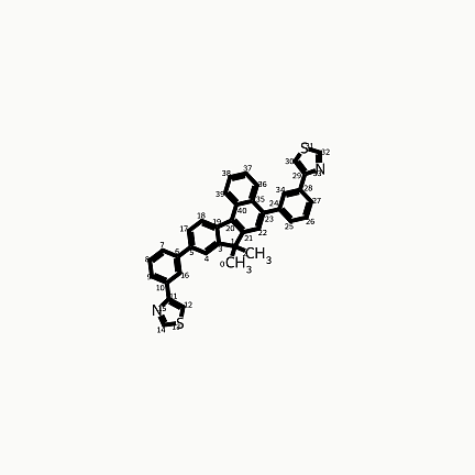 CC1(C)c2cc(-c3cccc(-c4cscn4)c3)ccc2-c2c1cc(-c1cccc(-c3cscn3)c1)c1ccccc21